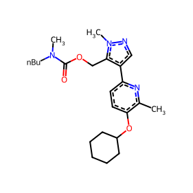 CCCCN(C)C(=O)OCc1c(-c2ccc(OC3CCCCC3)c(C)n2)cnn1C